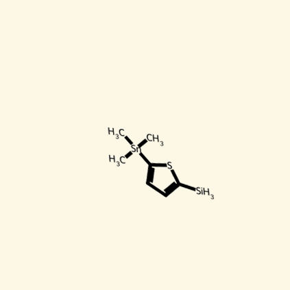 [CH3][Sn]([CH3])([CH3])[c]1ccc([SiH3])s1